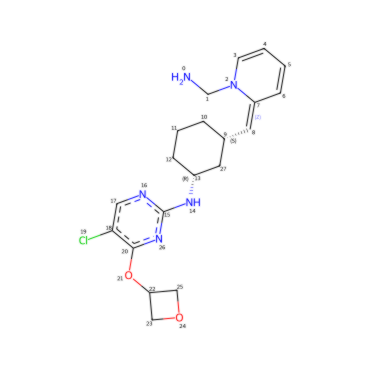 NCN1C=CC=C/C1=C/[C@H]1CCC[C@@H](Nc2ncc(Cl)c(OC3COC3)n2)C1